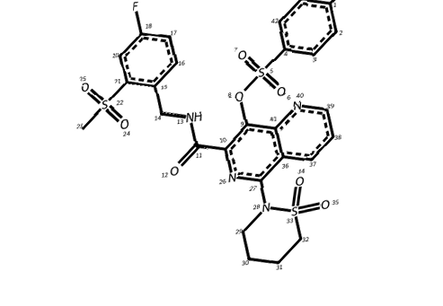 Cc1ccc(S(=O)(=O)Oc2c(C(=O)NCc3ccc(F)cc3S(C)(=O)=O)nc(N3CCCCS3(=O)=O)c3cccnc23)cc1